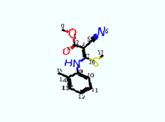 COC(=O)/C(C#N)=C(\Nc1ccccc1C)SC